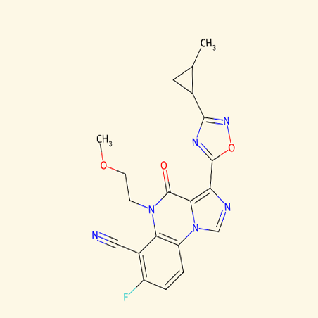 COCCn1c(=O)c2c(-c3nc(C4CC4C)no3)ncn2c2ccc(F)c(C#N)c21